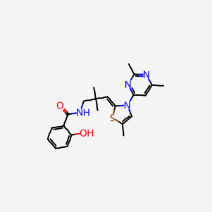 CC1=CN(c2cc(C)nc(C)n2)C(=CC(C)(C)CNC(=O)c2ccccc2O)S1